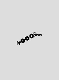 CCCCCO[C@H]1CC[C@H](c2ccc(-c3ccc(C#N)cc3)cc2)CC1